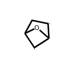 [CH]1CC2[CH]C1O2